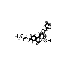 C=CCOc1ccc2c(c1)CCN1C2=CC(OCC2CCCO2)=NC1O